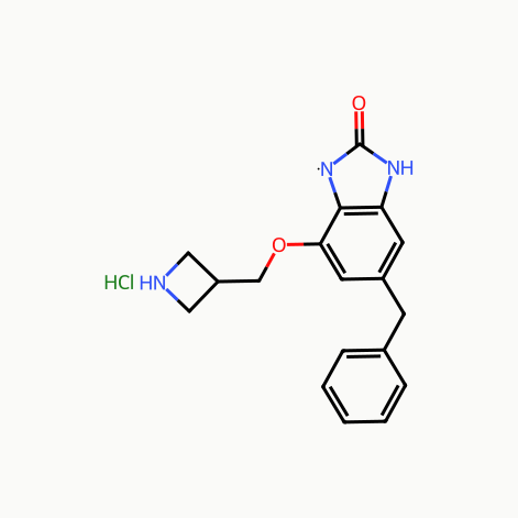 Cl.O=C1[N]c2c(cc(Cc3ccccc3)cc2OCC2CNC2)N1